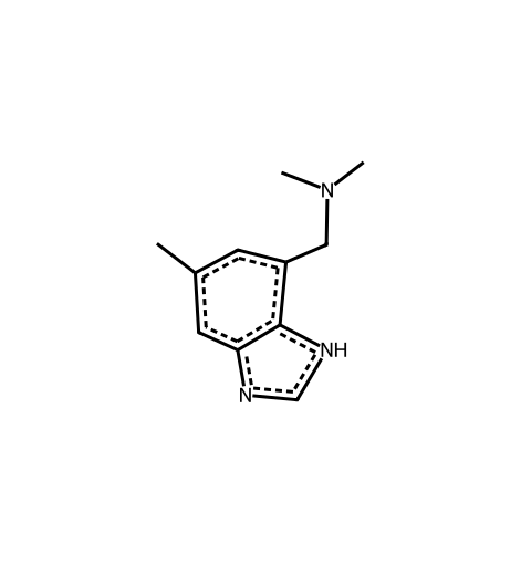 Cc1cc(CN(C)C)c2[nH]cnc2c1